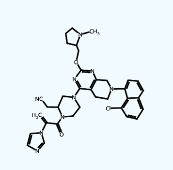 C=C(C(=O)N1CCN(c2nc(OCC3CCCN3C)nc3c2CCN(c2cccc4cccc(Cl)c24)C3)CC1CC#N)n1ccnc1